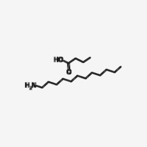 CCCC(=O)O.CCCCCCCCCCCCN